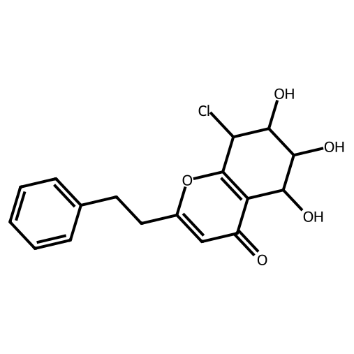 O=c1cc(CCc2ccccc2)oc2c1C(O)C(O)C(O)C2Cl